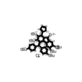 CC(C)(C)c1ccc(C(c2ccc(C(C)(C)C)cc2)=c2c(C(C)(C)C)c(C(C)(C)C)c(C3=CC=CC3)c3c2=c2cc(C(C)(C)C)c(C(C)(C)C)cc2=[C]3[Zr+2])cc1.[Cl-].[Cl-]